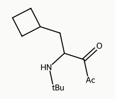 CC(=O)C(=O)C(CC1CCC1)NC(C)(C)C